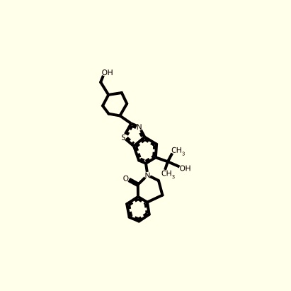 CC(C)(O)c1cc2nc(C3CCC(CO)CC3)sc2cc1N1CCc2ccccc2C1=O